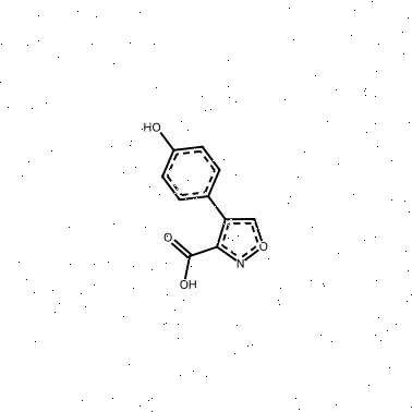 O=C(O)c1nocc1-c1ccc(O)cc1